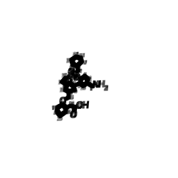 NCc1cccc(-c2cc(COc3ccccc3CC(=O)O)cc3ccn(S(=O)(=O)Cc4ccccc4)c23)c1